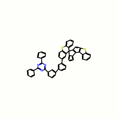 c1ccc(-c2nc(-c3ccccc3)nc(-c3cccc(-c4cccc(-c5ccc6c(c5)C5(c7ccccc7S6)c6ccccc6-c6c5ccc5sc7ccccc7c65)c4)c3)n2)cc1